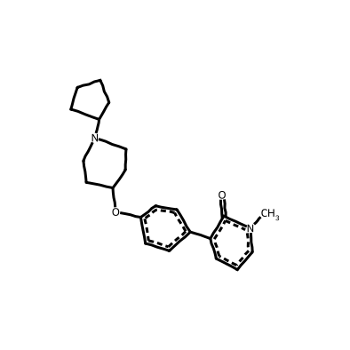 Cn1cccc(-c2ccc(OC3CCN(C4CCCC4)CC3)cc2)c1=O